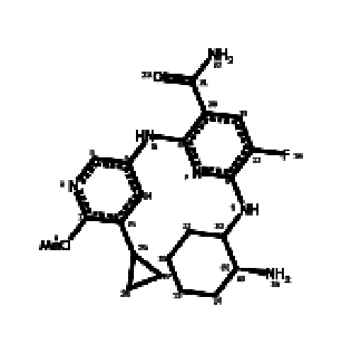 COc1ncc(Nc2nc(NC3CCCC[C@@H]3N)c(F)cc2C(N)=O)cc1C1CC1